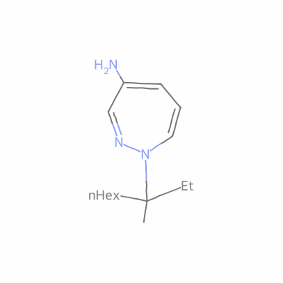 CCCCCCC(C)(CC)N1C=CC=C(N)C=N1